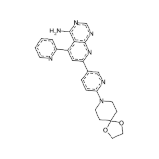 Nc1ncnc2nc(-c3ccc(N4CCC5(CC4)OCCO5)nc3)cc(-c3ccccn3)c12